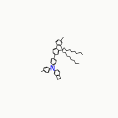 CCCCCCCCC1(CCCCCCCC)c2cc(C)ccc2-c2ccc(-c3ccc(N(c4ccc(C)cc4)c4ccc5c(c4)CC5)cc3)cc21